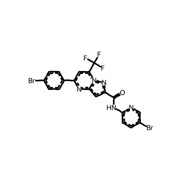 O=C(Nc1ccc(Br)cn1)c1cc2nc(-c3ccc(Br)cc3)cc(C(F)(F)F)n2n1